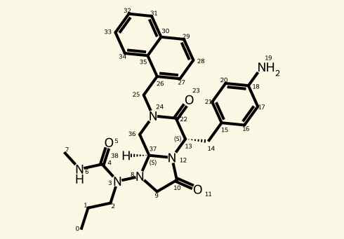 CCCN(C(=O)NC)N1CC(=O)N2[C@@H](Cc3ccc(N)cc3)C(=O)N(Cc3cccc4ccccc34)C[C@@H]21